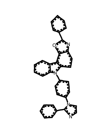 c1ccc(-c2nc3ccc4c(c5ccccc5n4-c4ccc(-n5ccnc5-c5ccccc5)cc4)c3o2)cc1